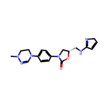 CN1CCN(c2ccc(N3C[C@H](CNC4=NCC=C4)OC3=O)cc2)C=N1